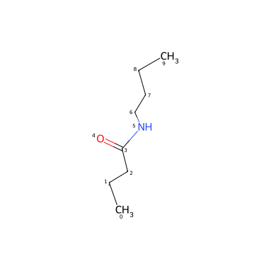 C[CH]CC(=O)NCCCC